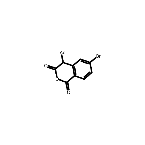 CC(=O)C1C(=O)OC(=O)c2ccc(Br)cc21